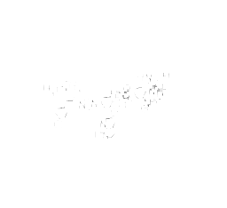 CC(=O)[C@@]1(Nc2ccc(S(=O)(=O)NC(=O)c3ccc(N4CCN(CC5=C(c6ccc(Cl)cc6)CC(C)(C)CC5)CC4)cc3Oc3cnc4[nH]ccc4c3)cc2[N+](=O)[O-])CCNC1